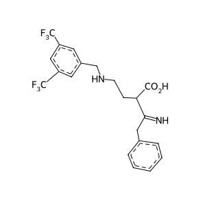 N=C(Cc1ccccc1)C(CCNCc1cc(C(F)(F)F)cc(C(F)(F)F)c1)C(=O)O